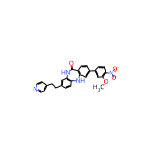 COc1cc(-c2ccc3c(c2)Nc2ccc(CCc4ccncc4)cc2NC3=O)ccc1[N+](=O)[O-]